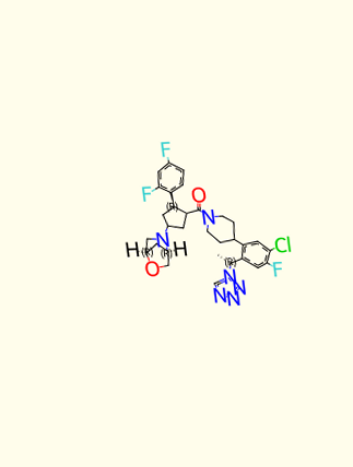 C[C@H](c1cc(F)c(Cl)cc1C1CCN(C(=O)C2CC(N3C[C@H]4C[C@@H]3CO4)C[C@H]2c2ccc(F)cc2F)CC1)n1cnnn1